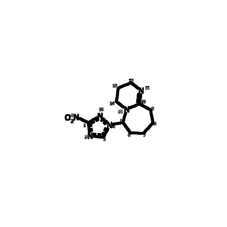 O=[N+]([O-])c1ncn(C2CCCCC3=NCCCN32)n1